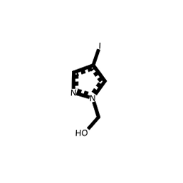 OCn1cc(I)cn1